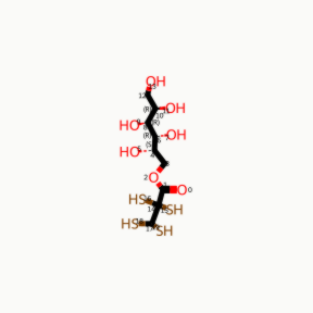 O=C(OC[C@H](O)[C@@H](O)[C@H](O)[C@H](O)CO)C(S)(S)C(S)S